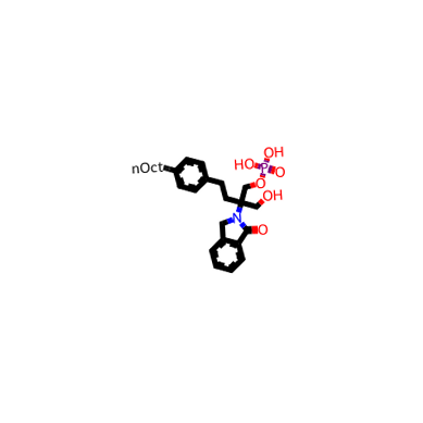 CCCCCCCCc1ccc(CCC(CO)(COP(=O)(O)O)N2Cc3ccccc3C2=O)cc1